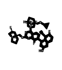 C#Cc1c(F)ccc2cc(O)cc(-c3ccc4c(N5C[C@@H]6CC[C@](COC7CC7)(C5)N6)nc(OC[C@@]56CCCN5C[C@H](F)C6)nc4c3F)c12